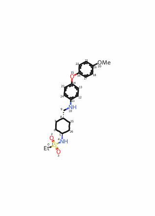 CCS(=O)(=O)N[C@H]1CC[C@H](CNc2ccc(Oc3ccc(OC)cc3)cc2)CC1